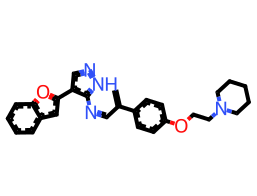 C=C(/C=N\c1[nH]ncc1-c1cc2ccccc2o1)c1ccc(OCCN2CCCCC2)cc1